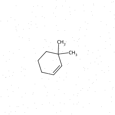 [CH2]C1(C)C=CCCC1